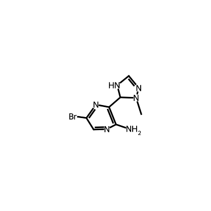 CN1N=CNC1c1nc(Br)cnc1N